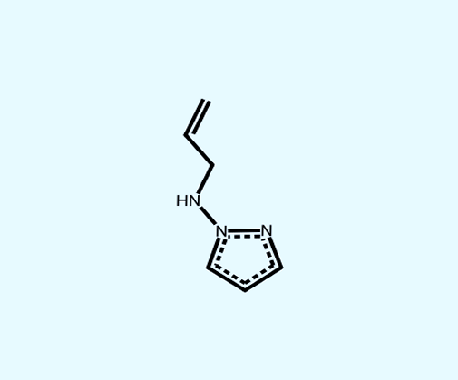 C=CCNn1cccn1